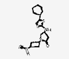 N#CNC1CC(N2CC(Nc3ncc(C4CCCCC4)s3)CC2=O)C1